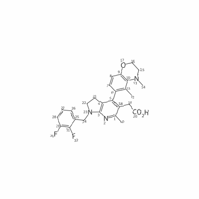 Cc1nc2c(c(-c3ccc4c(c3C)N(C)CCO4)c1CC(=O)O)CCN2Cc1cccc(F)c1F